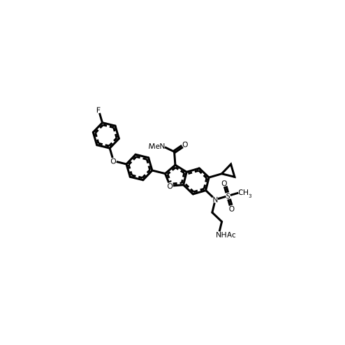 CNC(=O)c1c(-c2ccc(Oc3ccc(F)cc3)cc2)oc2cc(N(CCNC(C)=O)S(C)(=O)=O)c(C3CC3)cc12